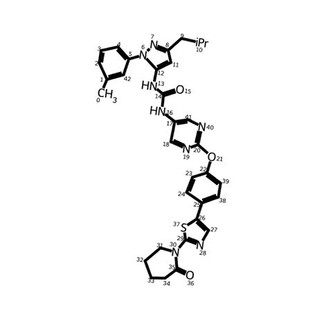 Cc1cccc(-n2nc(CC(C)C)cc2NC(=O)Nc2cnc(Oc3ccc(-c4cnc(N5CCCCC5=O)s4)cc3)nc2)c1